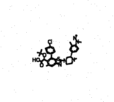 C=NN(C)c1ccc([C@@H]2CN(c3nc4cc(C)c([C@H](OC(C)(C)C)C(=O)O)c(-c5ccc(Cl)cc5)c4s3)CCN2C)cc1C